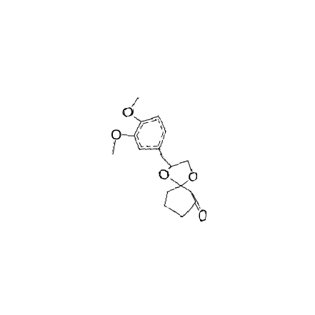 COc1ccc(C2COC3(CCCC(=O)C3)O2)cc1OC